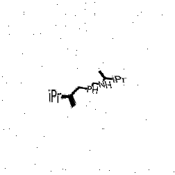 C=C(CPCNC(=C)C(C)C)C(C)C